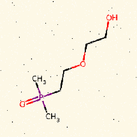 CP(C)(=O)CCOCCO